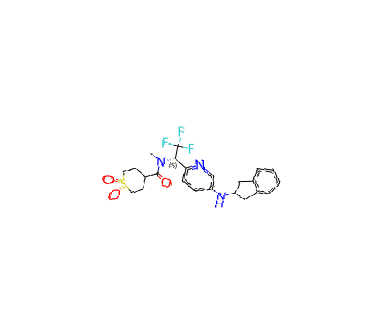 CN(C(=O)C1CCS(=O)(=O)CC1)[C@@H](c1ccc(NC2Cc3ccccc3C2)cn1)C(F)(F)F